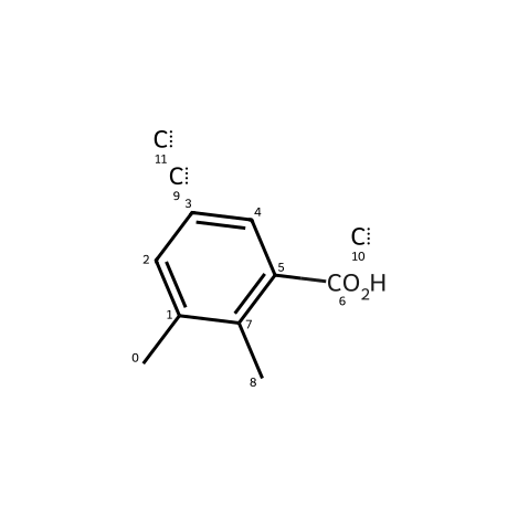 Cc1cccc(C(=O)O)c1C.[C].[C].[C]